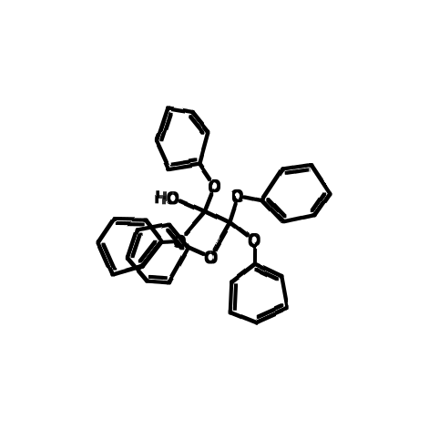 OC(Oc1ccccc1)(Oc1ccccc1)C(Oc1ccccc1)(Oc1ccccc1)Oc1ccccc1